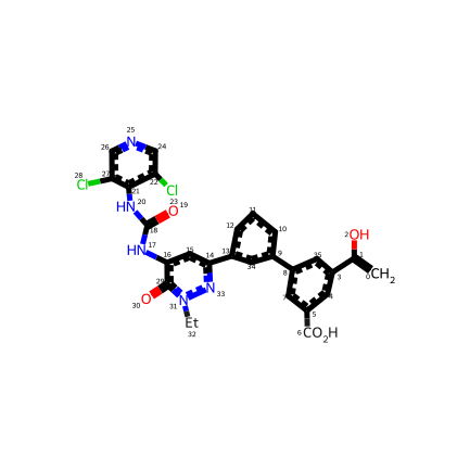 C=C(O)c1cc(C(=O)O)cc(-c2cccc(-c3cc(NC(=O)Nc4c(Cl)cncc4Cl)c(=O)n(CC)n3)c2)c1